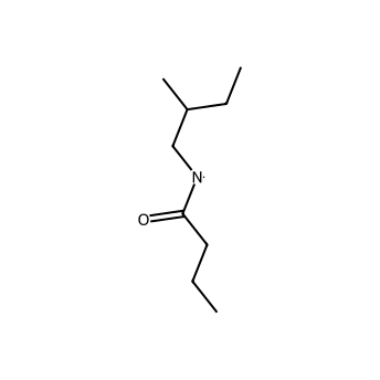 CCCC(=O)[N]CC(C)CC